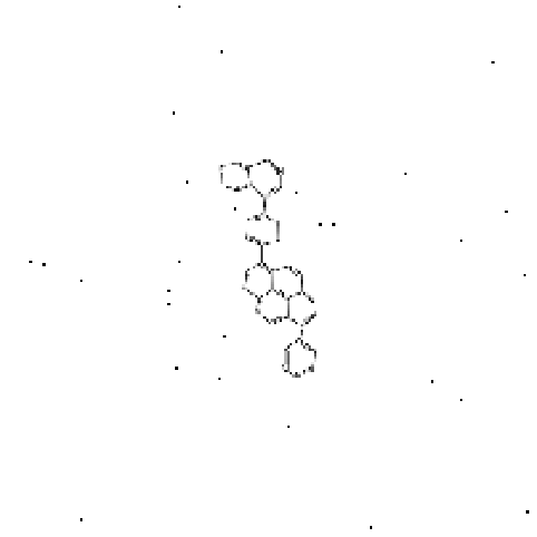 c1cncc(-c2ccc3ccc4c(-c5ccc(-c6cncc7ccccc67)cc5)ccc5ccc2c3c54)c1